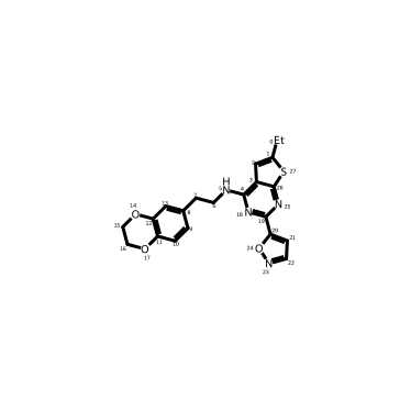 CCc1cc2c(NCCc3ccc4c(c3)OCCO4)nc(-c3ccno3)nc2s1